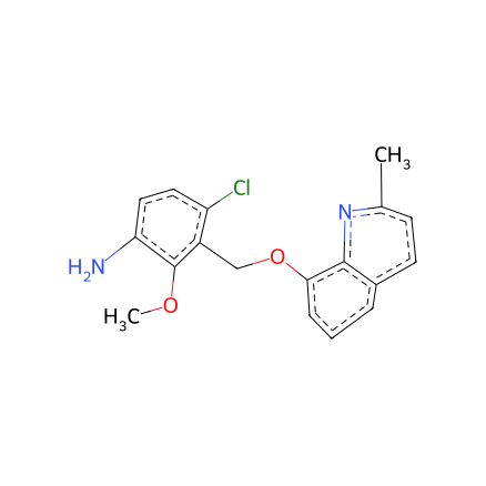 COc1c(N)ccc(Cl)c1COc1cccc2ccc(C)nc12